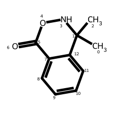 CC1(C)NOC(=O)c2ccccc21